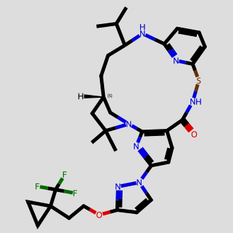 CC(C)C1CC[C@@H]2CN(c3nc(-n4ccc(OCCC5(C(F)(F)F)CC5)n4)ccc3C(=O)NSc3cccc(n3)N1)C(C)(C)C2